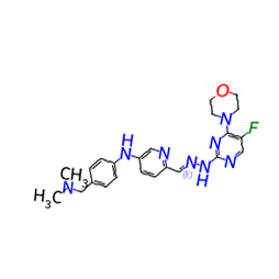 CN(C)Cc1ccc(Nc2ccc(/C=N/Nc3ncc(F)c(N4CCOCC4)n3)nc2)cc1